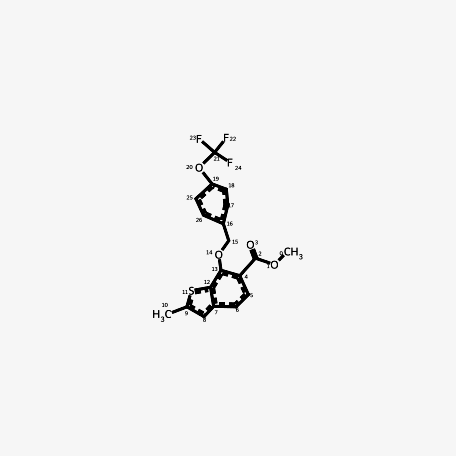 COC(=O)c1ccc2cc(C)sc2c1OCc1ccc(OC(F)(F)F)cc1